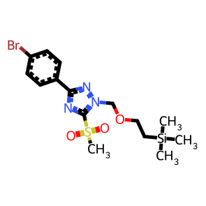 C[Si](C)(C)CCOCn1nc(-c2ccc(Br)cc2)nc1S(C)(=O)=O